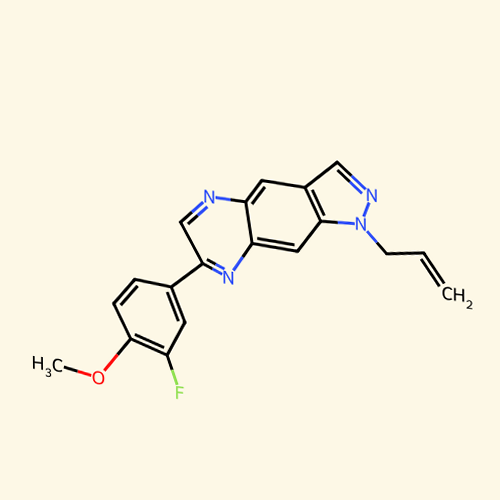 C=CCn1ncc2cc3ncc(-c4ccc(OC)c(F)c4)nc3cc21